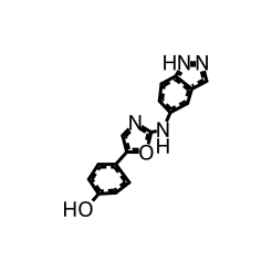 Oc1ccc(-c2cnc(Nc3ccc4[nH]ncc4c3)o2)cc1